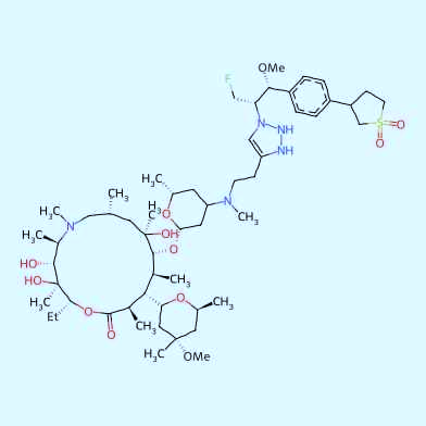 CC[C@H]1OC(=O)[C@H](C)[C@@H](C2C[C@@](C)(OC)C[C@H](C)O2)[C@H](C)[C@@H](O[C@H]2CC(N(C)CCC3=CN([C@H](CF)[C@H](OC)c4ccc(C5CCS(=O)(=O)C5)cc4)NN3)C[C@@H](C)O2)[C@](C)(O)C[C@@H](C)CN(C)[C@H](C)[C@@H](O)[C@]1(C)O